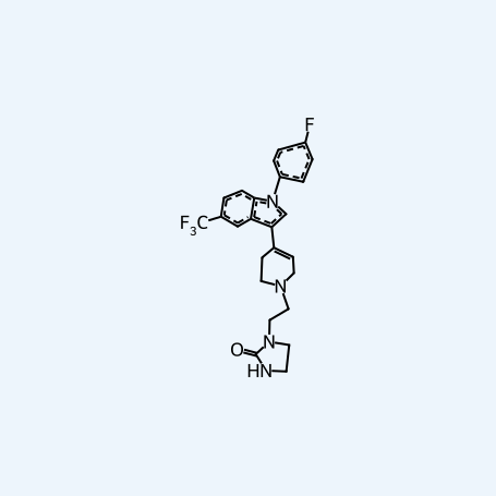 O=C1NCCN1CCN1CC=C(c2cn(-c3ccc(F)cc3)c3ccc(C(F)(F)F)cc23)CC1